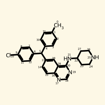 Cc1ccc(C(c2ccc(Cl)cc2)c2ccc3ncnc(NC4CCNCC4)c3c2)cc1